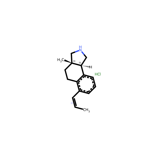 C/C=C\c1cccc2c1CC[C@]1(C)CNC[C@@H]21.Cl